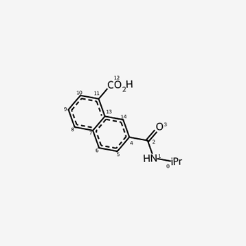 CC(C)NC(=O)c1ccc2cccc(C(=O)O)c2c1